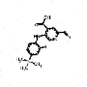 C[Si](C)(C)c1ccc(Nc2cnc(C=O)cc2C(=O)O)c(F)c1